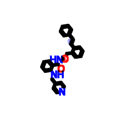 O=C(NOCc1ccccc1/C=C/c1ccccc1)c1ccccc1NCc1ccncc1